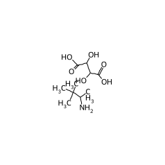 CC(N)C(C)(C)C.O=C(O)C(O)C(O)C(=O)O